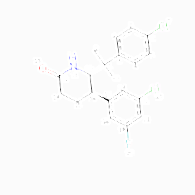 CC(C)(c1ccc(Cl)cc1)[C@H]1NC(=O)CC[C@@H]1c1cc(F)cc(Cl)c1